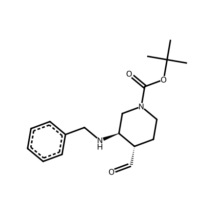 CC(C)(C)OC(=O)N1CC[C@H](C=O)[C@@H](NCc2ccccc2)C1